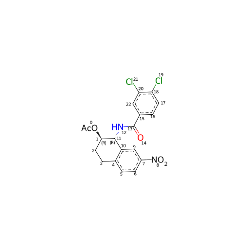 CC(=O)O[C@@H]1CCc2ccc([N+](=O)[O-])cc2[C@H]1NC(=O)c1ccc(Cl)c(Cl)c1